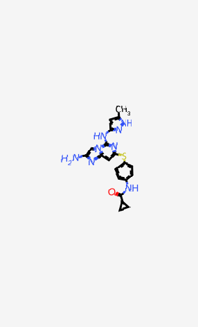 Cc1cc(Nc2nc(Sc3ccc(NC(=O)C4CC4)cc3)cc3nc(N)cn23)n[nH]1